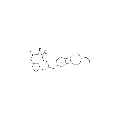 CC(CF)CC1CCC(CC(CCN=O)CC2CCC3C4CCC(CI)CCC4C3C2)C1